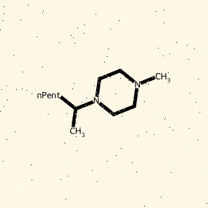 CCCCCC(C)N1CCN(C)CC1